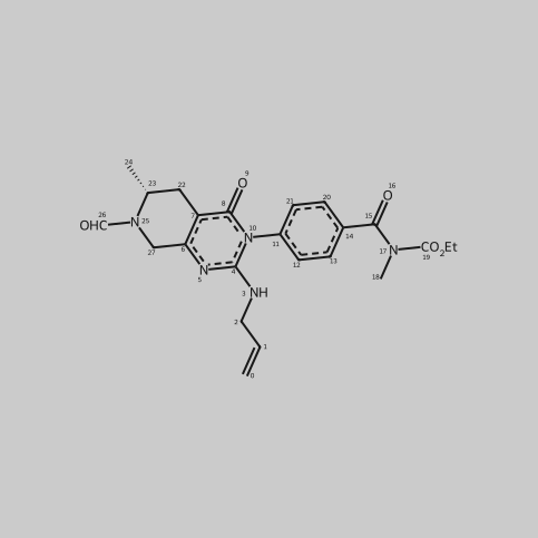 C=CCNc1nc2c(c(=O)n1-c1ccc(C(=O)N(C)C(=O)OCC)cc1)C[C@@H](C)N(C=O)C2